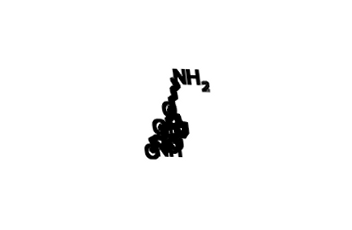 NCCCCCCOc1cc2c3c(cccc3c1)C(=O)N(C1CCC(=O)NC1=O)C2=O